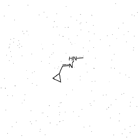 CN/N=C/C1CC1